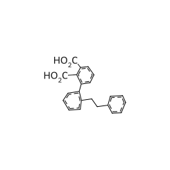 O=C(O)c1cccc(-c2ccccc2CCc2ccccc2)c1C(=O)O